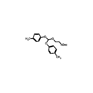 CCCCCCCCCCCCOC(Oc1ccc(C)cc1)Oc1ccc(C)cc1